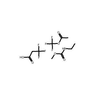 CC(=O)OC(F)(F)F.CCNC(=O)OC.O=C(O)CC(F)(F)F